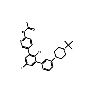 CC(=O)Nc1ccc(-c2cc(F)cc(-c3cccc(N4CCN(C(C)(C)C)CC4)c3)c2O)cn1